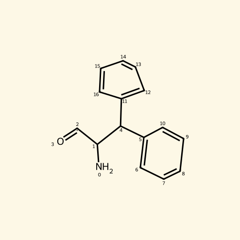 NC([C]=O)C(c1ccccc1)c1ccccc1